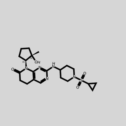 C[C@]1(O)CCC[C@@H]1N1C(=O)CCc2cnc(NC3CCN(S(=O)(=O)C4CC4)CC3)nc21